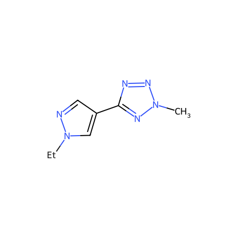 CCn1cc(-c2nnn(C)n2)cn1